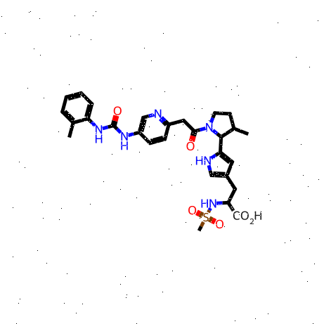 Cc1ccccc1NC(=O)Nc1ccc(CC(=O)N2CCC(C)C2c2cc(CC(NS(C)(=O)=O)C(=O)O)c[nH]2)nc1